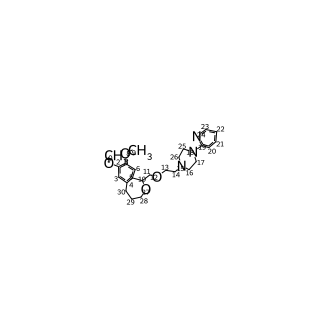 COc1cc2c(cc1OC)C(COCCN1CCN(c3ccccn3)CC1)OCCC2